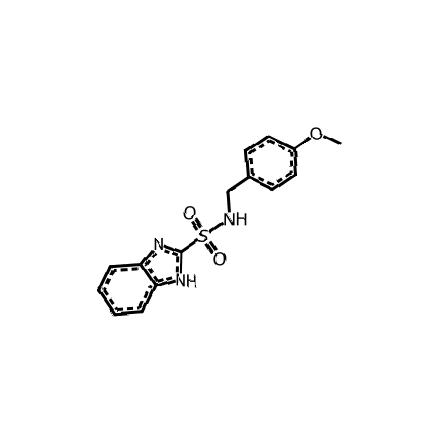 COc1ccc(CNS(=O)(=O)c2nc3ccccc3[nH]2)cc1